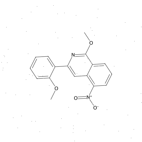 COc1ccccc1-c1cc2c([N+](=O)[O-])cccc2c(OC)n1